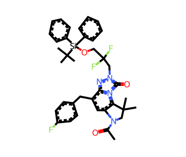 CC(=O)N1CC(C)(C)c2c1cc(Cc1ccc(F)cc1)c1nn(CC(F)(F)CO[Si](c3ccccc3)(c3ccccc3)C(C)(C)C)c(=O)n21